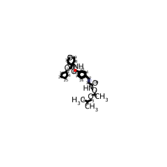 CC(C)COC(C)ONC(=O)/C=C/c1ccc(CNC2(C(=O)OC3CCCC3)CCOCC2)cc1